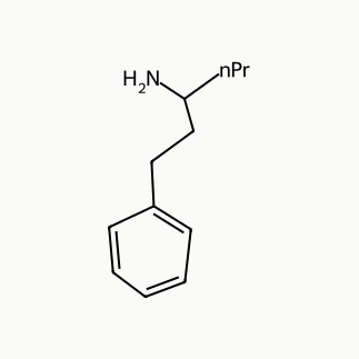 CCCC(N)CCc1ccccc1